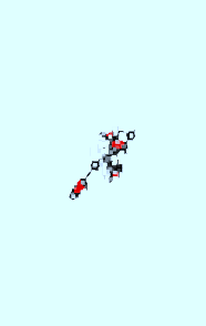 COC(=O)N[C@H](C(=O)N[C@@H](Cc1ccc(C#Cc2ccc(N3CC4CCC(C3)N4C3COC3)nc2)cc1)[C@@H](O)CN(Cc1c(F)cc(-c2ccc(C)cn2)cc1F)NC(=O)[C@@H](NC(=O)OC)C(C)(C)C(F)(F)F)C(C)(C)C(F)(F)F